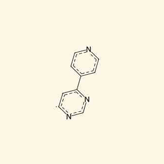 [c]1cc(-c2ccncc2)ncn1